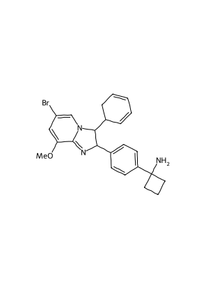 COC1=CC(Br)=CN2C1=NC(c1ccc(C3(N)CCC3)cc1)C2C1C=CC=CC1